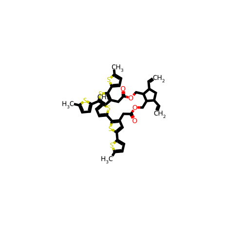 C=CC1CC(C=C)C(COC(=O)Cc2cc(-c3ccc(C)s3)sc2-c2ccc(C)s2)C1COC(=O)Cc1cc(-c2ccc(C)s2)sc1-c1ccc(C)s1